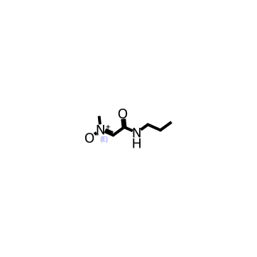 CCCNC(=O)/C=[N+](\C)[O-]